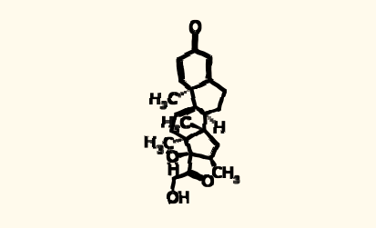 C[C@@H]1C[C@@]2(C)[C@@H]3CCC4=CC(=O)C=C[C@]4(C)C3=CC[C@]2(C)[C@@]1(O)C(=O)CO